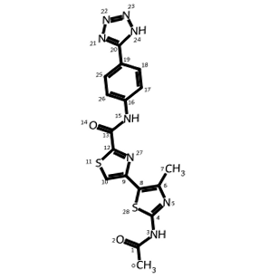 CC(=O)Nc1nc(C)c(-c2csc(C(=O)Nc3ccc(-c4nnn[nH]4)cc3)n2)s1